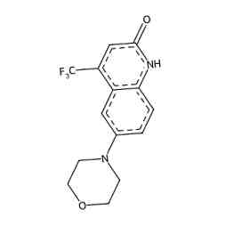 O=c1cc(C(F)(F)F)c2cc(N3CCOCC3)ccc2[nH]1